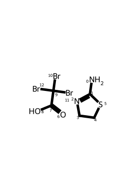 NC1=NCCS1.O=C(O)C(Br)(Br)Br